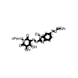 CCCCCN1C(=O)C(N=Nc2nc3ccc(SOOCCC)cc3n2CC)=C(O)C(CCC)C1=O